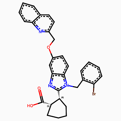 O=C(O)[C@H]1CCCC[C@H]1c1nc2cc(OCc3ccc4ccccc4n3)ccc2n1Cc1ccccc1Br